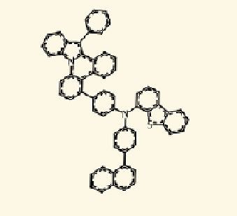 c1ccc(-c2c3ccccc3n3c4cccc(-c5ccc(N(c6ccc(-c7cccc8ccccc78)cc6)c6cccc7c6sc6ccccc67)cc5)c4c4ccccc4c23)cc1